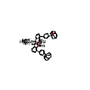 CC[CH2][Zr]([CH3])(=[SiH2])([CH]1C(C(C)(C)C)=C(C)c2c(-c3ccc(C45CC6CC(CC(C6)C4)C5)cc3)cccc21)[CH]1C(C(C)(C)C)=C(C)c2c(-c3ccc(C45CC6CC(CC(C6)C4)C5)cc3)cccc21.Cl.Cl